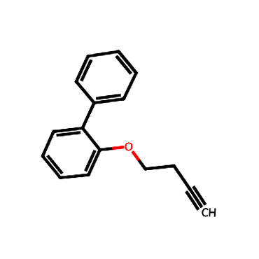 C#CCCOc1ccccc1-c1ccccc1